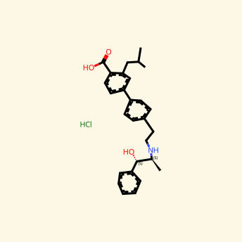 CC(C)Cc1cc(-c2ccc(CCN[C@@H](C)[C@@H](O)c3ccccc3)cc2)ccc1C(=O)O.Cl